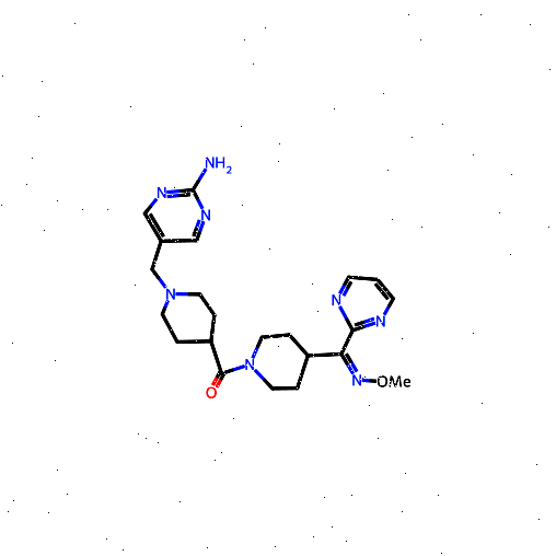 CO/N=C(\c1ncccn1)C1CCN(C(=O)C2CCN(Cc3cnc(N)nc3)CC2)CC1